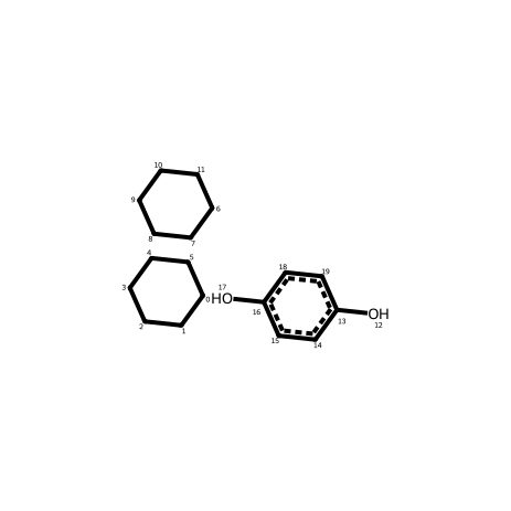 C1CCCCC1.C1CCCCC1.Oc1ccc(O)cc1